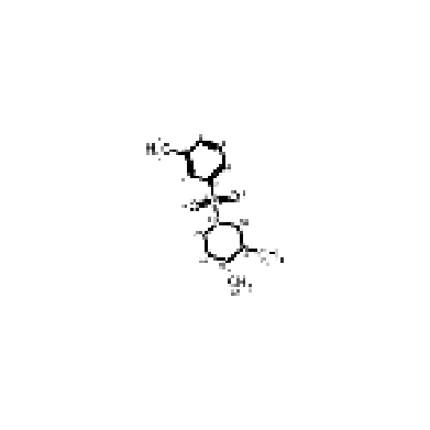 Cc1cccc(S(=O)(=O)N2CC[C@@H](C)C(C)C2)c1